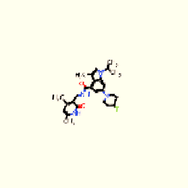 Cc1cc(C)c(CNC(=O)c2cc(N3CCC(F)CC3)cc3c2c(C)cn3C(C)C)c(=O)[nH]1